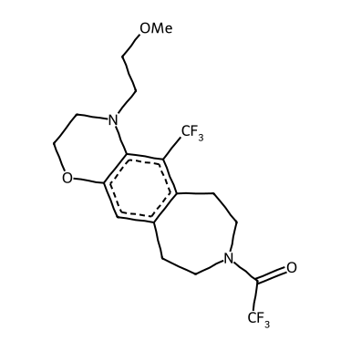 COCCN1CCOc2cc3c(c(C(F)(F)F)c21)CCN(C(=O)C(F)(F)F)CC3